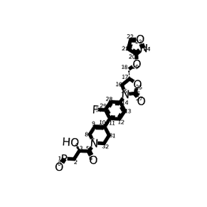 O=PC[C@@H](O)C(=O)N1CC=C(c2ccc(N3C[C@H](COc4ccon4)OC3=O)cc2F)CC1